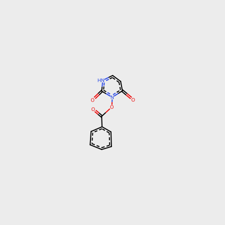 O=C(On1c(=O)cc[nH]c1=O)c1ccccc1